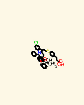 CC(C)(C)[Si](OCCc1c(CCSc2ccc(CCC(=O)O)cc2)c2cc(Cl)ccc2n1C(c1ccccc1)c1ccccc1)(c1ccccc1)c1ccccc1